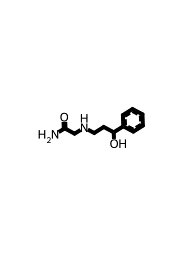 NC(=O)CNCCC(O)c1ccccc1